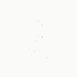 Cc1ccc2c(c1)c1c(n2-c2ccc(-c3ccncc3)cn2)CC2CCC1N2C